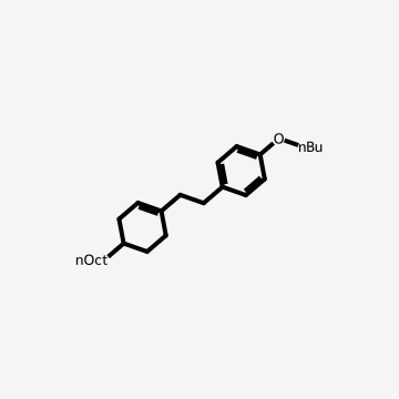 CCCCCCCCC1CC=C(CCc2ccc(OCCCC)cc2)CC1